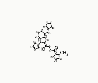 CC1=C(C(=O)CCC(O)C2CC3C(CC4=CC=CC4)CCCC3C2C2=CC=CC2)CC=C1